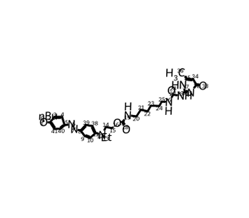 CCCCOc1ccc(/N=N/c2ccc(N(CC)CCOC(=O)NCCCCCCNC(=O)Nc3nc(=O)cc(C)[nH]3)cc2)cc1